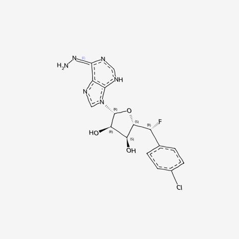 N/N=c1/nc[nH]c2c1ncn2[C@@H]1O[C@H]([C@H](F)c2ccc(Cl)cc2)[C@@H](O)[C@H]1O